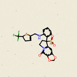 O=c1c2c(cc3n1CCC3(c1ccccc1NCC1=CCC(C(F)(F)F)S1)[SH](=O)=O)OCO2